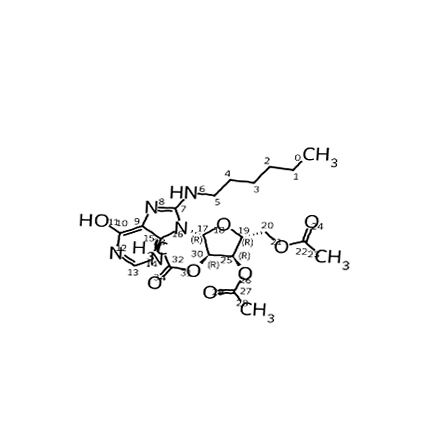 CCCCCCNc1nc2c(O)ncnc2n1[C@@H]1O[C@H](COC(C)=O)[C@@H](OC(C)=O)[C@H]1OC(C)=O